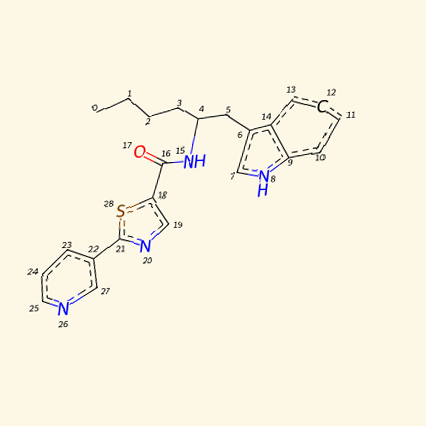 CCCCC(Cc1c[nH]c2ccccc12)NC(=O)c1cnc(-c2cccnc2)s1